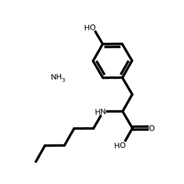 CCCCCNC(Cc1ccc(O)cc1)C(=O)O.N